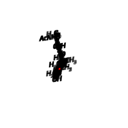 CC(=O)N[C@@H]1[C@H](CCCCC(=O)NCCCCCC(=O)NCCN2C[C@@H](C)C[C@H]3O[C@]4(CC[C@@H]5C(=C4C)C[C@H]4[C@H]5CC=C5C[C@@H](O)CC[C@@]54C)[C@H](C)[C@@H]32)SC[C@@H]1C